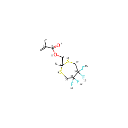 C=C(C)C(=O)OCC1(C)SCC(F)(F)C(F)(F)CS1